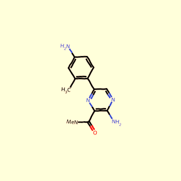 CNC(=O)c1nc(-c2ccc(N)cc2C)cnc1N